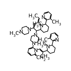 C=C1C=CC=C(N2CCN(C(/C(=C\C=C/C)N3CCN(C)CC3)C3CCCC(c4ncccc4C)N3C)CC2)N1/C=C(\C)C1CCCC(c2ncccc2C)N1C